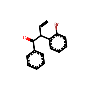 C=CC(C(=O)c1ccccc1)c1ccccc1Br